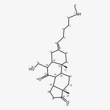 CNCCCC/C=C1\CC[C@@]2(C)C(C1)C(CO)C(=O)C1C2CC[C@]2(C)C(=O)CCC12